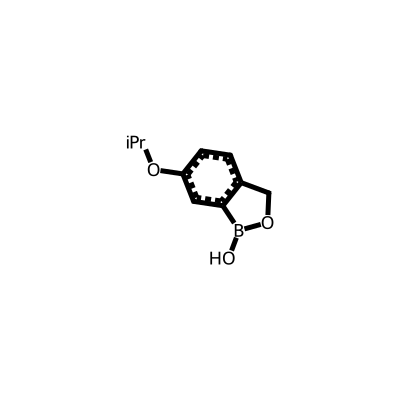 CC(C)Oc1ccc2c(c1)B(O)OC2